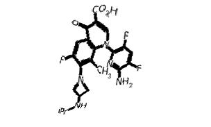 Cc1c(N2CC(NC(C)C)C2)c(F)cc2c(=O)c(C(=O)O)cn(-c3nc(N)c(F)cc3F)c12